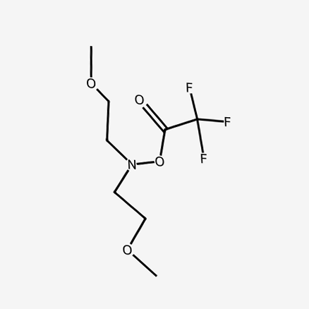 COCCN(CCOC)OC(=O)C(F)(F)F